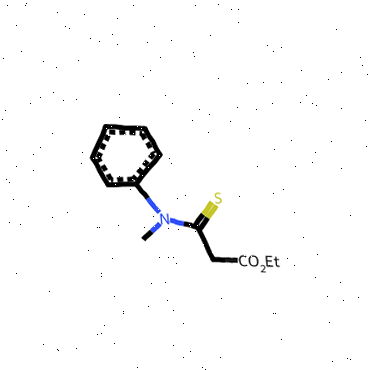 CCOC(=O)CC(=S)N(C)c1ccccc1